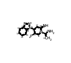 C=C(N)n1cc(F)c(-n2nnc3ccccc32)cc1=N